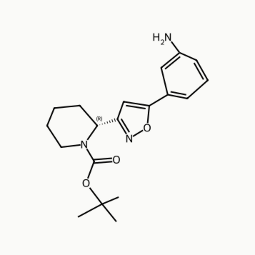 CC(C)(C)OC(=O)N1CCCC[C@@H]1c1cc(-c2cccc(N)c2)on1